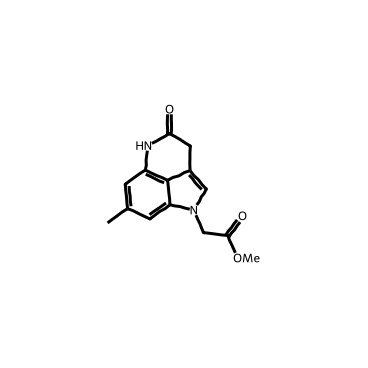 COC(=O)Cn1cc2c3c(cc(C)cc31)NC(=O)C2